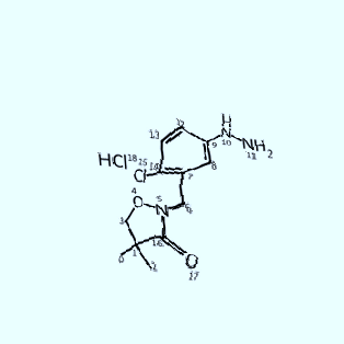 CC1(C)CON(Cc2cc(NN)ccc2Cl)C1=O.Cl